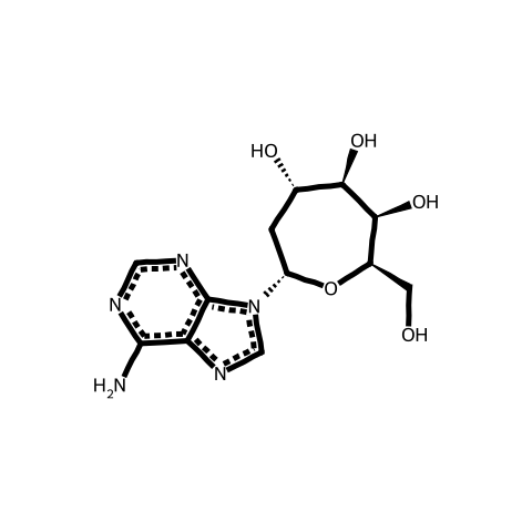 Nc1ncnc2c1ncn2[C@@H]1C[C@H](O)[C@@H](O)[C@@H](O)[C@@H](CO)O1